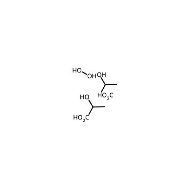 CC(O)C(=O)O.CC(O)C(=O)O.OO